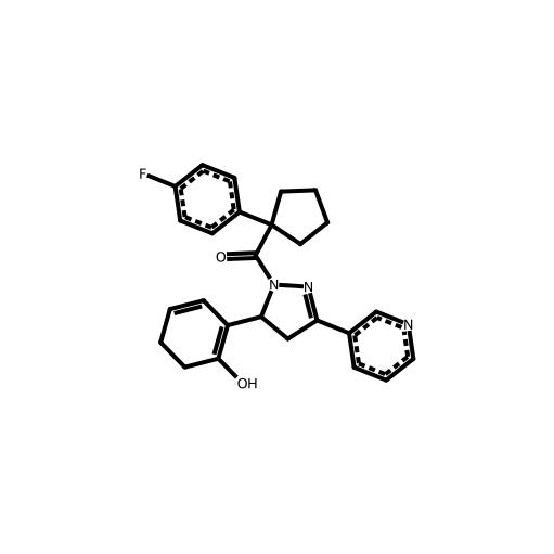 O=C(N1N=C(c2cccnc2)CC1C1=C(O)CCC=C1)C1(c2ccc(F)cc2)CCCC1